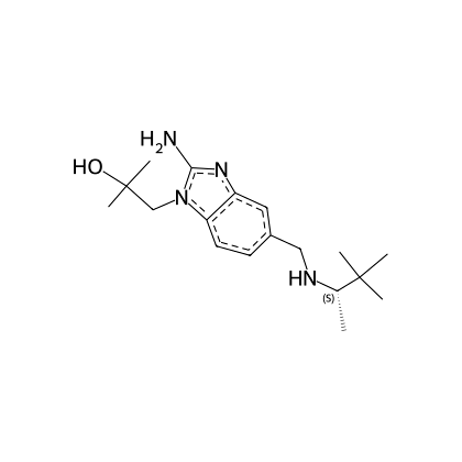 C[C@H](NCc1ccc2c(c1)nc(N)n2CC(C)(C)O)C(C)(C)C